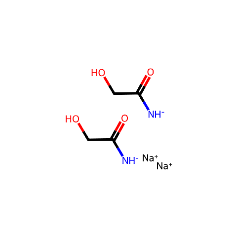 [NH-]C(=O)CO.[NH-]C(=O)CO.[Na+].[Na+]